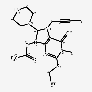 CC#CCN1c2c(nc(SCC(C)C)n(C)c2=O)N(OC(=O)C(F)(F)F)C1N1CCNCC1